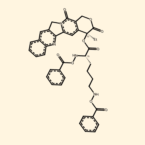 CC[C@@]1(OC(=O)[C@H](CCCCNOC(=O)c2ccccc2)NOC(=O)c2ccccc2)C(=O)OCc2c1cc1n(c2=O)Cc2cc3ccccc3nc2-1